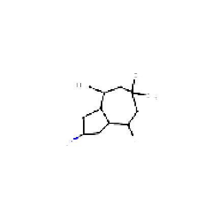 CC1CC(C)(C)CC(C)C2CC(N)CC12